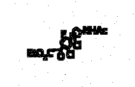 CCOC(=O)CC(=O)c1cc(F)c(N2CCC(NC(C)=O)C2)c(Cl)c1Cl